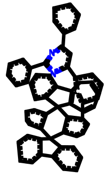 C1=CCC2=C(C=C1)C1(c3ccccc32)c2ccccc2C2(c3ccccc3-c3ccccc32)c2cccc(-c3cccc(-c4cc(-c5ccccc5)nc(-c5ccccc5)n4)c3)c21